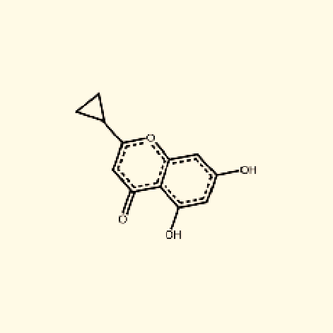 O=c1cc(C2CC2)oc2cc(O)cc(O)c12